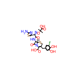 CC(C)(O/N=C(\C(=O)NC1C(=O)N2C(C(=O)O)=C(Cc3cc(O)c(O)c(F)c3)CS[C@H]12)c1csc(N)n1)C(=O)O